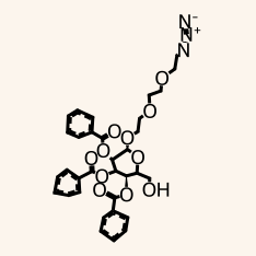 [N-]=[N+]=NCCOCCOCCO[C@H]1OC(CO)[C@@H](OC(=O)c2ccccc2)C(OC(=O)c2ccccc2)C1OC(=O)c1ccccc1